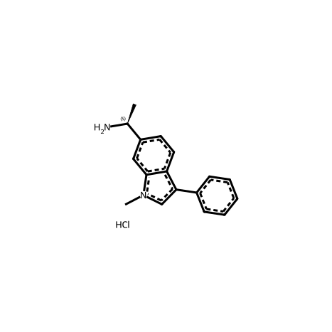 C[C@H](N)c1ccc2c(-c3ccccc3)cn(C)c2c1.Cl